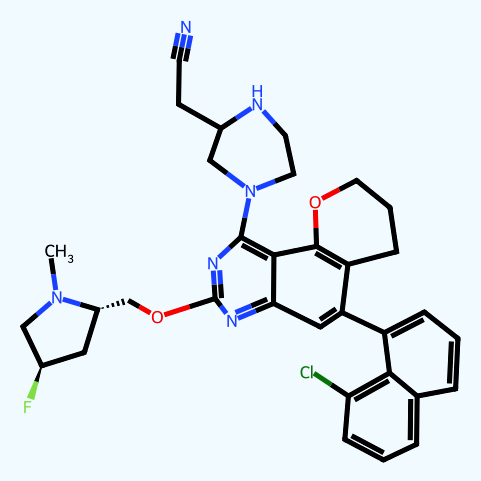 CN1C[C@H](F)C[C@H]1COc1nc(N2CCNC(CC#N)C2)c2c3c(c(-c4cccc5cccc(Cl)c45)cc2n1)CCCO3